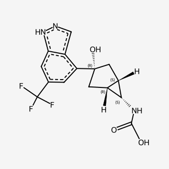 O=C(O)N[C@@H]1[C@@H]2C[C@@](O)(c3cc(C(F)(F)F)cc4[nH]ncc34)C[C@@H]21